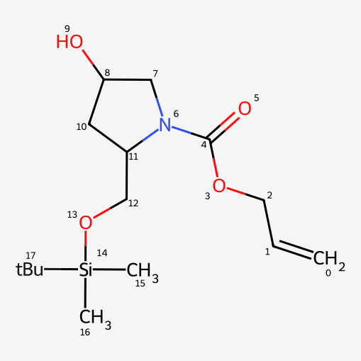 C=CCOC(=O)N1CC(O)CC1CO[Si](C)(C)C(C)(C)C